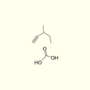 C#CC(C)CC.O=C(O)O